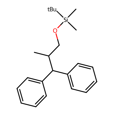 CC(CO[Si](C)(C)C(C)(C)C)C(c1ccccc1)c1ccccc1